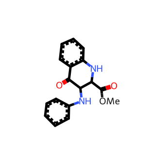 COC(=O)C1Nc2ccccc2C(=O)C1Nc1ccccc1